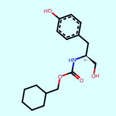 O=C(N[C@H](CO)Cc1ccc(O)cc1)OCC1CCCCC1